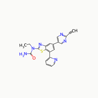 C#Cc1ncc(-c2cc(-c3ccccn3)c3sc(N(CC)C(N)=O)nc3c2)cn1